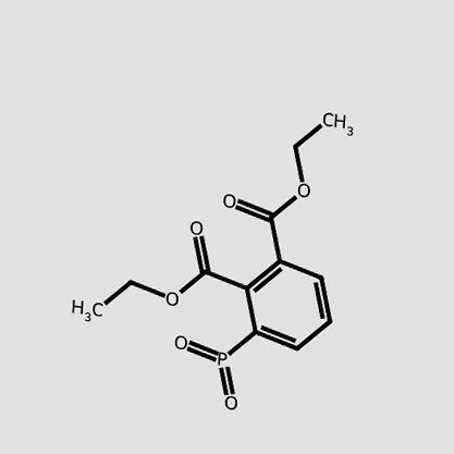 CCOC(=O)c1cccc(P(=O)=O)c1C(=O)OCC